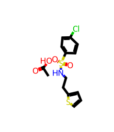 CC(=O)O.O=S(=O)(NCCc1cccs1)c1ccc(Cl)cc1